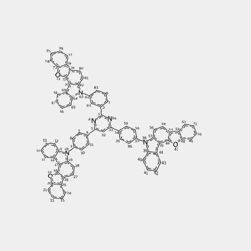 c1cc(-c2nc(-c3ccc(-n4c5ccccc5c5c6oc7ccccc7c6ccc54)cc3)cc(-c3ccc(-n4c5ccccc5c5c6oc7ccccc7c6ccc54)cc3)n2)cc(-n2c3ccccc3c3c4oc5ccccc5c4ccc32)c1